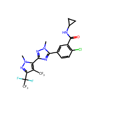 Cn1nc(-c2c(C(F)(F)F)c(C(F)(F)C(F)(F)F)nn2C)nc1-c1ccc(Cl)c(C(=O)NC2CC2)c1